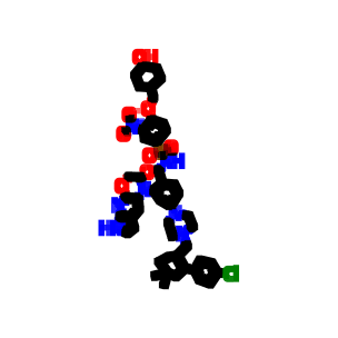 CC1(C)CCC(CN2CCN(c3ccc(C(=O)NS(=O)(=O)c4ccc(OCC5CCC(O)CC5)c([N+](=O)[O-])c4)c(N4CCOc5nc6[nH]ccc6cc54)c3)CC2)=C(c2ccc(Cl)cc2)C1